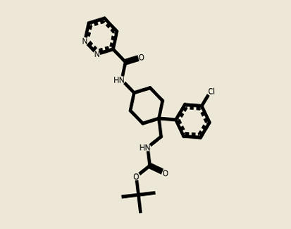 CC(C)(C)OC(=O)NCC1(c2cccc(Cl)c2)CCC(NC(=O)c2cccnn2)CC1